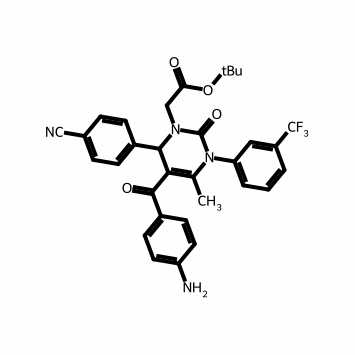 CC1=C(C(=O)c2ccc(N)cc2)C(c2ccc(C#N)cc2)N(CC(=O)OC(C)(C)C)C(=O)N1c1cccc(C(F)(F)F)c1